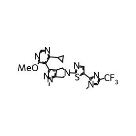 COc1ncnc(C2CC2)c1-c1nn(C)c2c1CN(c1ncc(-c3nc(C(F)(F)F)cn3C)s1)C2